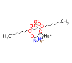 CCCCCCCCOC(=O)CC(C(=O)OCCCCCCCC)S(=O)(=O)[O-].O=C1N=C[N+]2([S-])C=CC=CC12.[Na+]